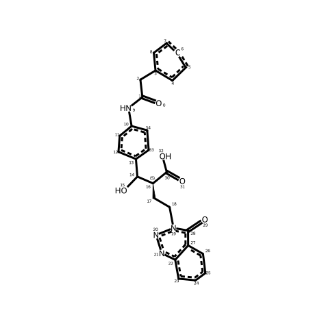 O=C(Cc1ccccc1)Nc1ccc(C(O)[C@H](CCn2nnc3ccccc3c2=O)C(=O)O)cc1